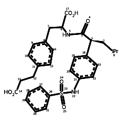 CC(C)C[C@H](C(=O)NC(Cc1ccc(CCC(=O)O)cc1)C(=O)O)c1ccc(NS(=O)(=O)c2ccccc2)cc1